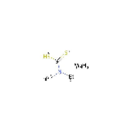 CCCN(CC)C(=S)S.[MgH2]